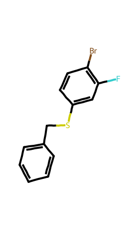 Fc1cc(SCc2ccccc2)ccc1Br